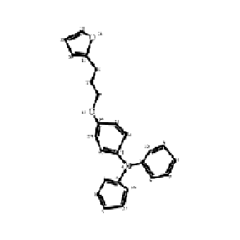 c1ccc(N(c2ccccc2)c2ccc(OCCCc3ccco3)cc2)cc1